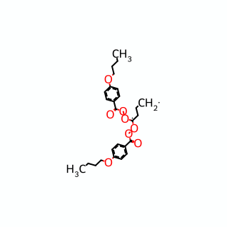 [CH2]CC[C](OOC(=O)c1ccc(OCCCC)cc1)OOC(=O)c1ccc(OCCCC)cc1